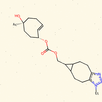 CCn1nnc2c1CCC1C(CC2)C1COC(=O)O[C@H]1/C=C/CC[C@@](O)(C(C)=O)CC1